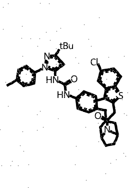 Cc1ccc(-n2nc(C(C)(C)C)cc2NC(=O)Nc2ccc(CC3CC4CCC(C3)N4C(=O)Cc3sc4ccc(Cl)cc4c3C)cc2)cc1